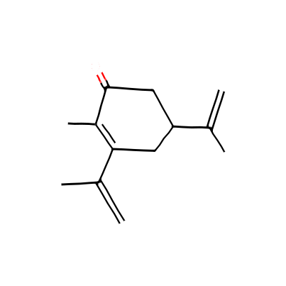 C=C(C)C1=C(C)C(=O)CC(C(=C)C)C1